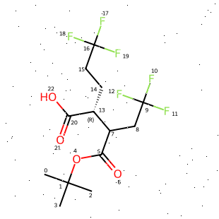 CC(C)(C)OC(=O)C(CC(F)(F)F)[C@@H](CCC(F)(F)F)C(=O)O